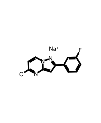 [Na+].[O-]c1ccn2nc(-c3cccc(F)c3)cc2n1